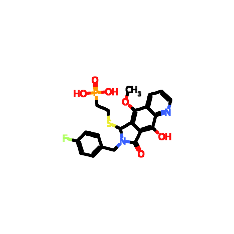 COc1c2c(c(O)c3ncccc13)C(=O)N(Cc1ccc(F)cc1)C2SCCP(=O)(O)O